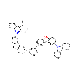 C=Cc1c(/C=C\C)n(-c2ccc3c(c2)-c2cc(-c4cccc(-c5ccc6oc7ccc(-n8c9ccccc9c9ccccc98)cc7c6c5)c4)ccc2C3)c2ccccc12